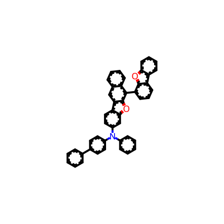 c1ccc(-c2ccc(N(c3ccccc3)c3ccc4c(c3)oc3c(-c5cccc6c5oc5ccccc56)c5ccccc5cc34)cc2)cc1